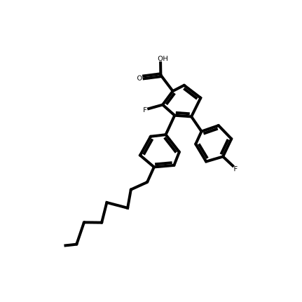 CCCCCCCCc1ccc(-c2c(-c3ccc(F)cc3)ccc(C(=O)O)c2F)cc1